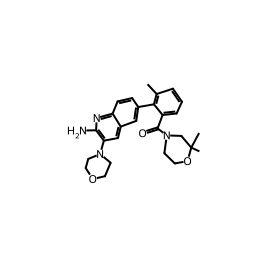 Cc1cccc(C(=O)N2CCOC(C)(C)C2)c1-c1ccc2nc(N)c(N3CCOCC3)cc2c1